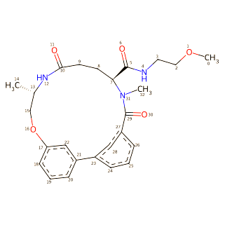 COCCNC(=O)[C@@H]1CCC(=O)N[C@@H](C)COc2cccc(c2)-c2cccc(c2)C(=O)N1C